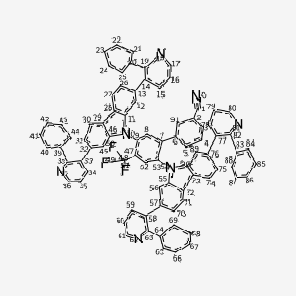 N#Cc1cccc(-c2cc(-n3c4cc(-c5cccnc5-c5ccccc5)ccc4c4ccc(-c5cccnc5-c5ccccc5)cc43)c(C(F)(F)F)cc2-n2c3cc(-c4cccnc4-c4ccccc4)ccc3c3ccc(-c4cccnc4-c4ccccc4)cc32)c1